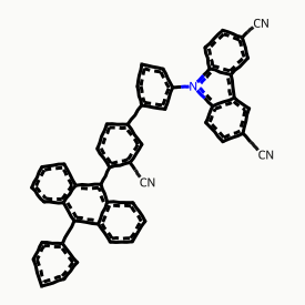 N#Cc1ccc2c(c1)c1cc(C#N)ccc1n2-c1cccc(-c2ccc(-c3c4ccccc4c(-c4ccccc4)c4ccccc34)c(C#N)c2)c1